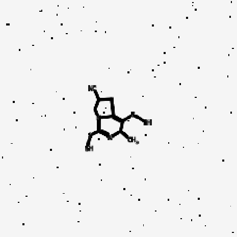 CC1N=C(SS)N2CC(C#N)CC2=C1SS